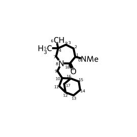 CNC1CCC(C)(C)CN(CC2CC3CCCC2C3)C1=O